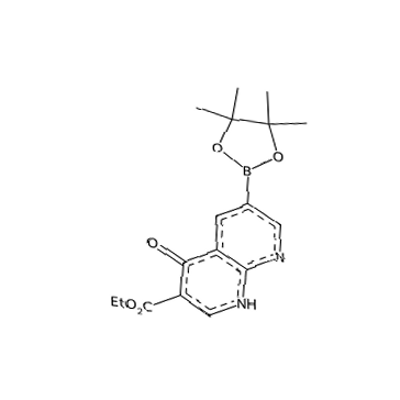 CCOC(=O)c1c[nH]c2ncc(B3OC(C)(C)C(C)(C)O3)cc2c1=O